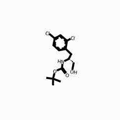 CC(C)(C)OC(=O)N[C@@H](CO)Cc1ccc(Cl)cc1Cl